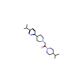 CC(C)c1ccc(C2CCN(CC(=O)N3CCC(C(C)C)CC3)CC2)nc1